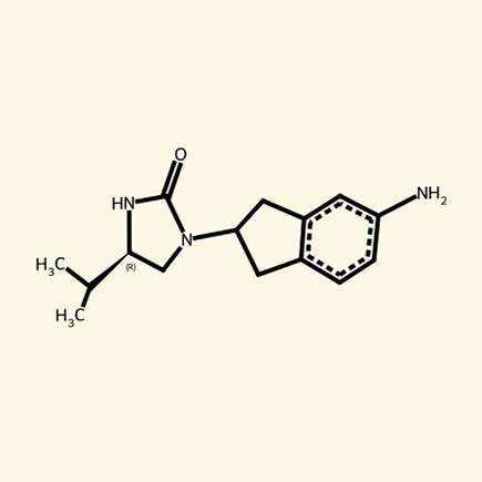 CC(C)[C@@H]1CN(C2Cc3ccc(N)cc3C2)C(=O)N1